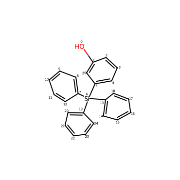 Oc1cccc([Si](c2ccccc2)(c2ccccc2)c2ccccc2)c1